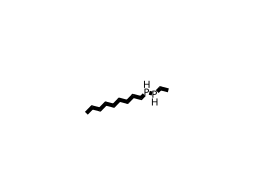 CCCCCCCCCPPCC